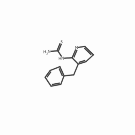 NC(=S)Nc1ncccc1Cc1ccccc1